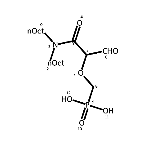 CCCCCCCCN(CCCCCCCC)C(=O)C(C=O)OCP(=O)(O)O